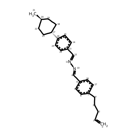 C=CCCCc1ccc(C=NN=Cc2ccc([C@H]3CC[C@H](C)CC3)cc2)cc1